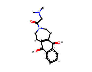 CN(C)CC(=O)N1CCC2=C(CC1)C(=O)c1ccccc1C2=O